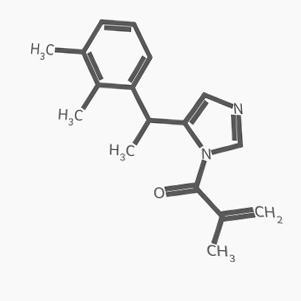 C=C(C)C(=O)n1cncc1C(C)c1cccc(C)c1C